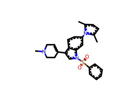 Cc1ccc(C)n1-c1ccc2c(C3=CCN(C)CC3)cn(S(=O)(=O)c3ccccc3)c2c1